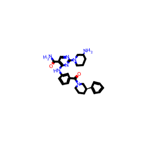 NC(=O)c1cnc(N2CCC[C@H](N)C2)nc1Nc1cccc(C(=O)N2CCC[C@H](c3ccccc3)C2)c1